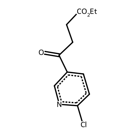 CCOC(=O)CCC(=O)c1ccc(Cl)nc1